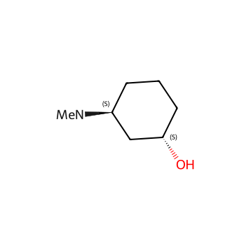 CN[C@H]1CCC[C@H](O)C1